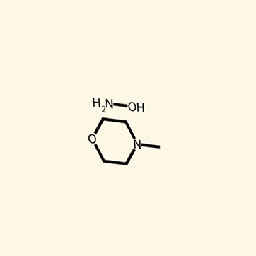 CN1CCOCC1.NO